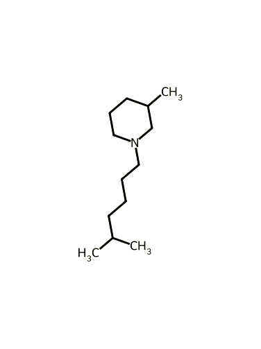 CC(C)CCCCN1CCCC(C)C1